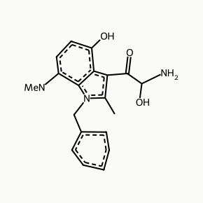 CNc1ccc(O)c2c(C(=O)C(N)O)c(C)n(Cc3ccccc3)c12